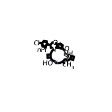 CCCc1cc(Cl)ccc1C1COc2ccc3cc2N(C1)CC1CCC1C(O)/C=C/CC(C)C(CC1CCC1)[S+]([O-])NC3=O